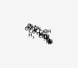 CC1=C(N2CCC3(CCC(N(C)[C@@H](CO)c4ccc(-n5cnnn5)nc4)CC3)C2=O)COC1=O